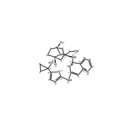 N#CCCN1[C@@H]2CC[C@H]1C[C@H](Nc1nc(Nc3ncc(C4(O)CC4)s3)cc3ncccc13)C2